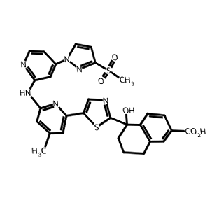 Cc1cc(Nc2cc(-n3ccc(S(C)(=O)=O)n3)ccn2)nc(-c2cnc(C3(O)CCCc4cc(C(=O)O)ccc43)s2)c1